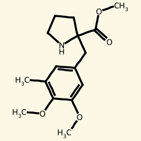 COC(=O)C1(Cc2cc(C)c(OC)c(OC)c2)CCCN1